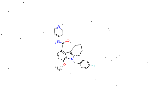 COc1ccc(C(=O)Nc2ccncc2)c2c3c(n(Cc4ccc(F)cc4)c12)CCCC3